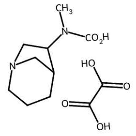 CN(C(=O)O)C1CN2CCCC1C2.O=C(O)C(=O)O